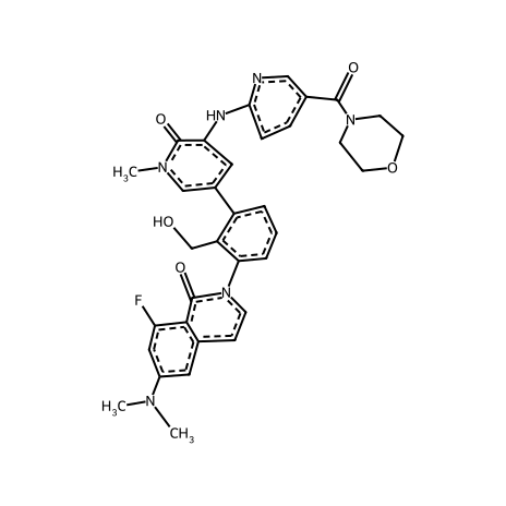 CN(C)c1cc(F)c2c(=O)n(-c3cccc(-c4cc(Nc5ccc(C(=O)N6CCOCC6)cn5)c(=O)n(C)c4)c3CO)ccc2c1